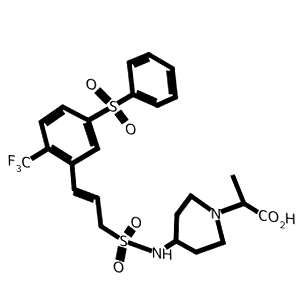 CC(C(=O)O)N1CCC(NS(=O)(=O)CC=Cc2cc(S(=O)(=O)c3ccccc3)ccc2C(F)(F)F)CC1